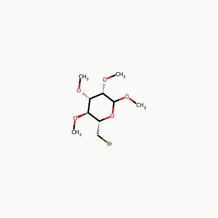 COC1O[C@H](CBr)[C@@H](OC)[C@H](OC)[C@@H]1OC